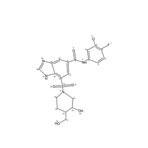 O=C(Nc1ccc(F)c(Cl)c1)c1cc(S(=O)(=O)N2CCC(CO)C(O)C2)c2[nH]cnc2c1